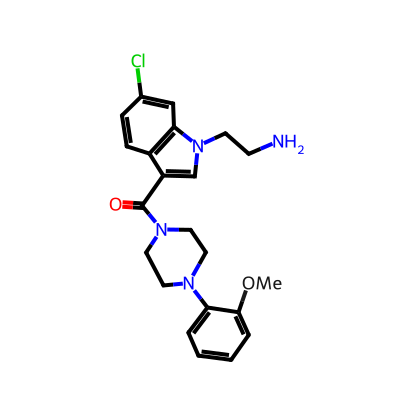 COc1ccccc1N1CCN(C(=O)c2cn(CCN)c3cc(Cl)ccc23)CC1